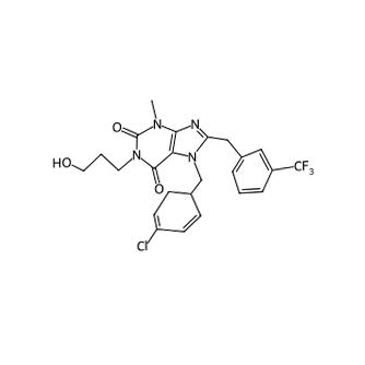 Cn1c(=O)n(CCCO)c(=O)c2c1nc(Cc1cccc(C(F)(F)F)c1)n2CC1C=CC(Cl)=CC1